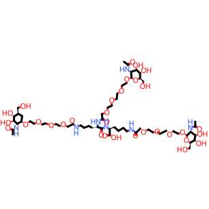 CC(=O)N[C@@H]1[C@@H](O)[C@@H](O)[C@@H](CO)C[C@H]1OCCOCCOCCOCC(=O)NCCCC[C@H](NC(=O)COCCOCCOCCO[C@@H]1O[C@H](CO)[C@H](O)[C@H](O)[C@H]1NC(C)=O)C(=O)N[C@@H](CCCCNC(=O)COCCOCCOCCO[C@@H]1O[C@H](CO)[C@H](O)[C@H](O)[C@H]1NC(C)=O)C(=O)O